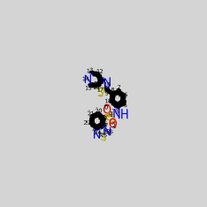 O=S(=O)(Nc1cccc(-c2nc3ccncc3s2)c1)c1cccc2nsnc12